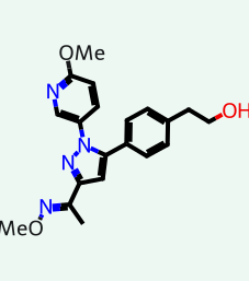 CO/N=C(\C)c1cc(-c2ccc(CCO)cc2)n(-c2ccc(OC)nc2)n1